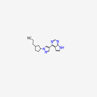 N#CCCC1CCC(n2cc(-c3ncnc4[nH]ccc34)cn2)C1